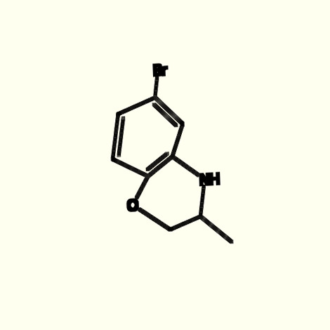 CC1COc2ccc(Br)cc2N1